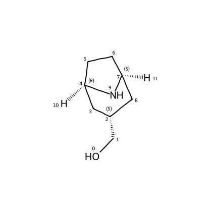 OC[C@@H]1C[C@H]2CC[C@@H](C1)N2